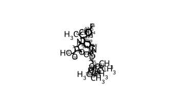 CC(C)c1nc(C2CC(C(=O)O)C2=O)c2cc3c(cnn3C(=O)OCCOP(=O)(OC(C)(C)C)OC(C)(C)C)cc2c1-c1ccc(F)cc1